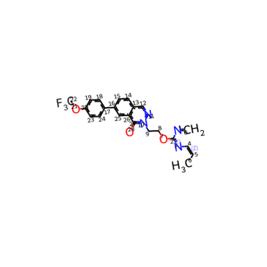 C=N/C(=N\C=C/C)OCCn1ncc2ccc(-c3ccc(OC(F)(F)F)cc3)cc2c1=O